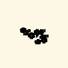 O=C(Nc1cncc(-c2cnc3[nH]nc(-c4nc5c(-c6ccoc6)nccc5[nH]4)c3c2F)c1)c1ccccc1